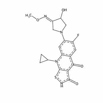 CO/N=C1\CN(c2cc3c(cc2F)c(=O)c2c(=O)[nH]sc2n3C2CC2)CC1O